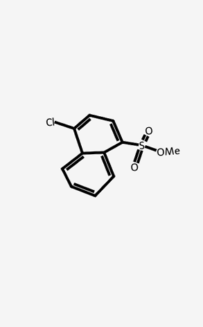 [CH2]OS(=O)(=O)c1ccc(Cl)c2ccccc12